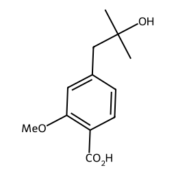 COc1cc(CC(C)(C)O)ccc1C(=O)O